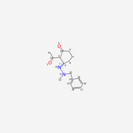 CC(=O)C1C(=O)CCC/C1=N\N(C)Cc1ccccc1